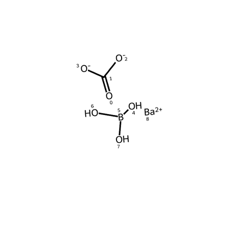 O=C([O-])[O-].OB(O)O.[Ba+2]